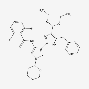 CCOC(OCC)c1nc(-c2nn(C3CCCCO3)cc2NC(=O)c2c(F)cccc2F)[nH]c1Cc1ccccc1